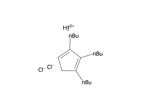 CCCCC1=CCC(CCCC)=C1CCCC.[Cl-].[Cl-].[Hf+2]